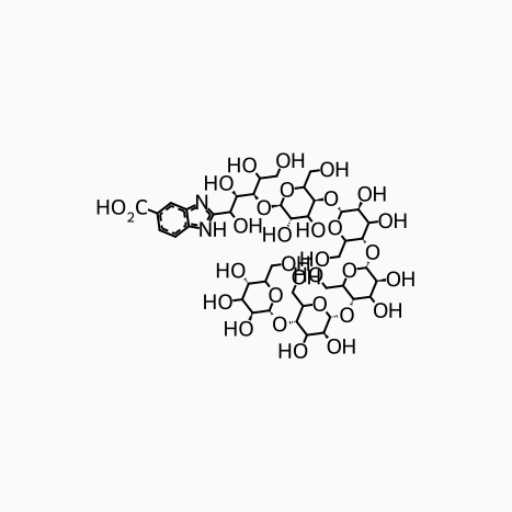 O=C(O)c1ccc2[nH]c(C(O)[C@@H](O)[C@H](O[C@H]3OC(CO)[C@@H](O[C@H]4OC(CO)[C@@H](O[C@H]5OC(CO)[C@@H](O[C@H]6OC(CO)[C@@H](O[C@H]7OC(CO)[C@@H](O)C(O)[C@@H]7O)C(O)[C@@H]6O)C(O)[C@@H]5O)C(O)[C@@H]4O)C(O)[C@@H]3O)C(O)CO)nc2c1